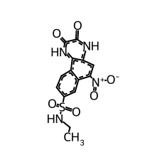 CCNS(=O)(=O)c1ccc2c(c1)c([N+](=O)[O-])cc1[nH]c(=O)c(=O)[nH]c12